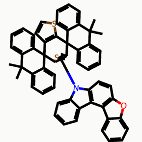 CC1(C)c2ccccc2C2(c3ccccc31)c1cc(-n3c4ccccc4c4c5c(ccc43)oc3ccccc35)sc1C1(c3ccccc3C(C)(C)c3ccccc31)c1ccsc12